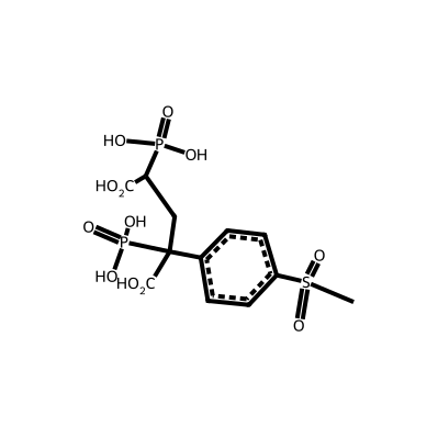 CS(=O)(=O)c1ccc(C(CC(C(=O)O)P(=O)(O)O)(C(=O)O)P(=O)(O)O)cc1